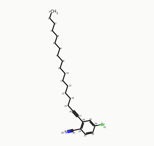 CCCCCCCCCCCCCCCCC#Cc1cc(Br)ccc1C#N